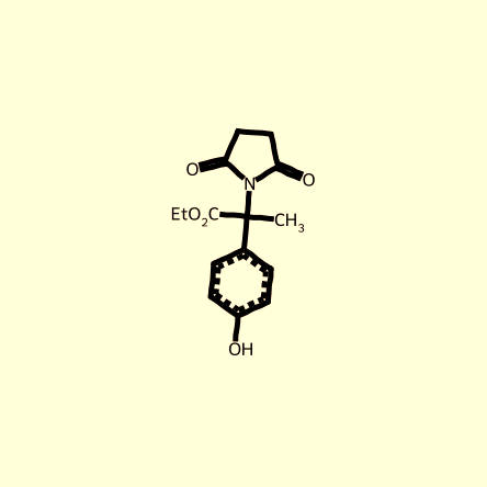 CCOC(=O)C(C)(c1ccc(O)cc1)N1C(=O)CCC1=O